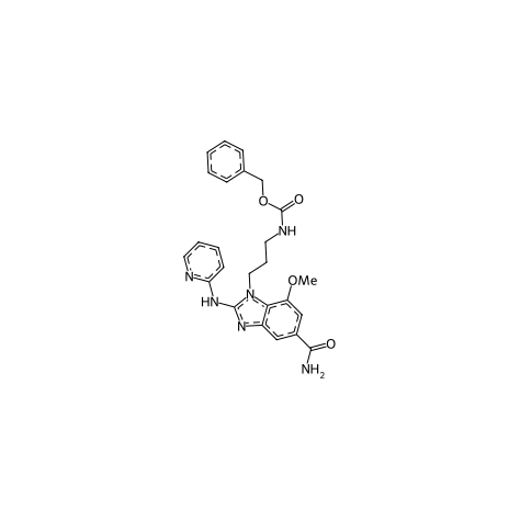 COc1cc(C(N)=O)cc2nc(Nc3ccccn3)n(CCCNC(=O)OCc3ccccc3)c12